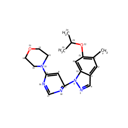 Cc1cc2cnn(-c3cc(N4CCOCC4)ncn3)c2cc1OC(C)C